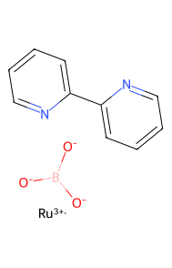 [O-]B([O-])[O-].[Ru+3].c1ccc(-c2ccccn2)nc1